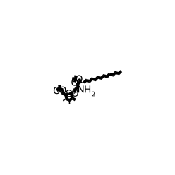 CCCCCCCCCCCCCC[C@H]1OC(C)(C)O[C@H]1[C@@H](N)CO[C@H]1OC(COC(C)=O)[C@H](C)[C@H](C)C1C